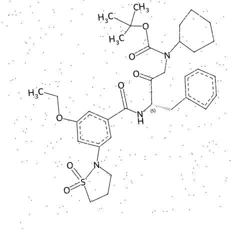 CCOc1cc(C(=O)N[C@@H](Cc2ccccc2)C(=O)CN(C(=O)OC(C)(C)C)C2CCCCC2)cc(N2CCCS2(=O)=O)c1